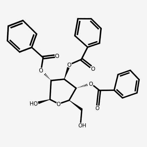 O=C(O[C@@H]1[C@@H](OC(=O)c2ccccc2)[C@H](O)O[C@H](CO)[C@H]1OC(=O)c1ccccc1)c1ccccc1